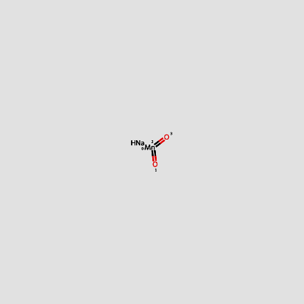 [NaH].[O]=[Mn]=[O]